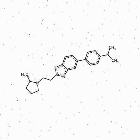 C[C@@H]1CCCN1CCc1nc2cc(-c3ccc(N(C)C)cc3)ccc2s1